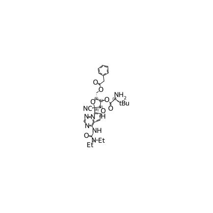 CCN(CC)C(=O)Nc1ncnn2c([C@]3(C#N)O[C@H](COC(=O)Cc4ccccc4)[C@@H](OC(=O)[C@@H](N)C(C)(C)C)[C@H]3O)ccc12